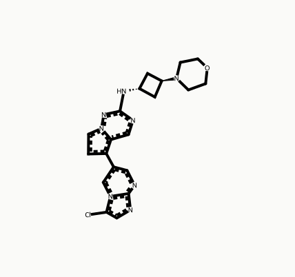 Clc1cnc2ncc(-c3ccn4nc(N[C@H]5C[C@H](N6CCOCC6)C5)ncc34)cn12